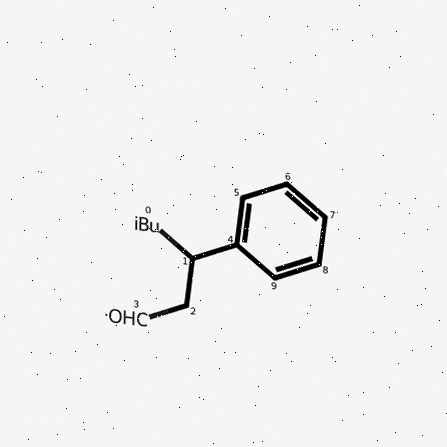 CCC(C)C(C[C]=O)c1ccccc1